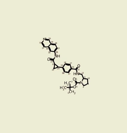 CC(C)(C)OC(=O)N1CCCC1CNC(=O)c1ccc(C2CC2C(=O)Nc2ccc3cnccc3c2)cc1